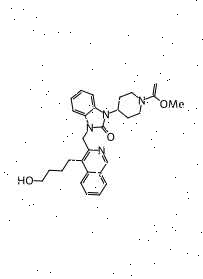 C=C(OC)N1CCC(n2c(=O)n(Cc3ncc4ccccc4c3CCCCO)c3ccccc32)CC1